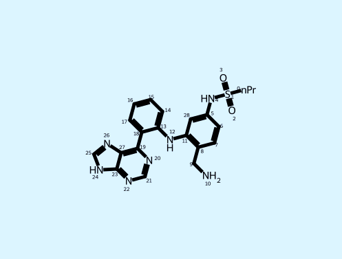 CCCS(=O)(=O)Nc1ccc(CN)c(Nc2ccccc2-c2ncnc3[nH]cnc23)c1